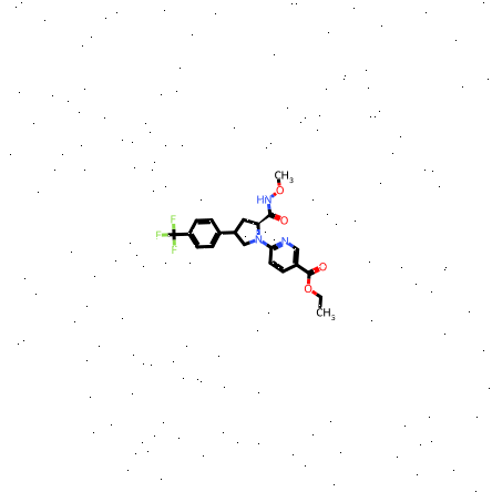 CCOC(=O)c1ccc(N2CC(c3ccc(C(F)(F)F)cc3)C[C@H]2C(=O)NOC)nc1